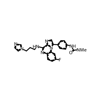 CNC(=O)Nc1ccc(-c2cnc3c(NCCCn4ccnc4)nc4ccc(F)cc4n23)cc1